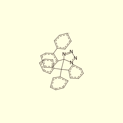 [c]1ccc(-c2ccccc2C2(C(c3ccccc3)(c3ccccc3)c3ccccc3)N=NN=N2)cc1